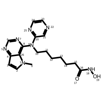 Cn1ccc2ncnc(N(CCCCCCC(=O)NO)c3cnccn3)c21